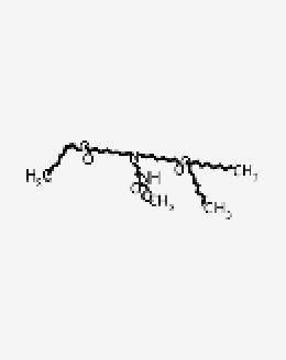 CCCCCC/C=C\COC(=O)CCCCCCCN(CCCCCCCC(=O)OC(CCCCCCCC)CCCCCCCC)CCCNC(=O)COC